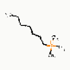 CCCCCCC[PH](C)(C)C